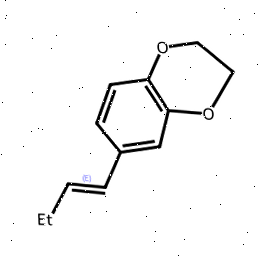 CC/C=C/c1ccc2c(c1)OCCO2